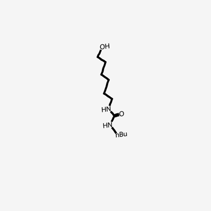 CCCCNC(=O)NCCCCCCO